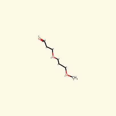 COCCCOCCC=O